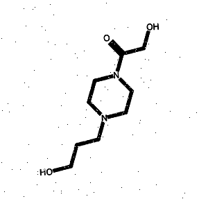 O=C(CO)N1CCN(CCCO)CC1